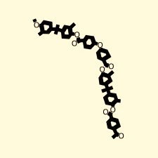 COc1ccc(C(C)(C)c2ccc(OC(=O)c3ccc(Oc4ccc(C(=O)Oc5ccc(C(C)(C)c6ccc(OC(=O)c7ccc(C(C)=O)cc7)c(C)c6)cc5C)cc4)cc3)c(C)c2)cc1C